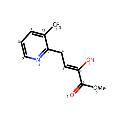 COC(=O)/C(O)=C/Cc1ncccc1C(F)(F)F